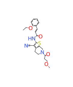 CCOc1ccccc1C=CC(=O)Nc1sc2c(c1C#N)CCN(C(=O)CCOC)C2